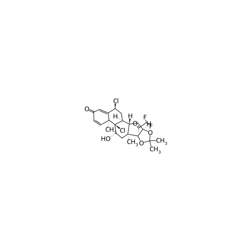 CC1(C)O[C@@H]2C[C@H]3[C@@H]4C[C@H](Cl)C5=CC(=O)C=C[C@]5(C)[C@@]4(Cl)[C@@H](O)C[C@]3(C)[C@]2(C(=O)C(F)F)O1